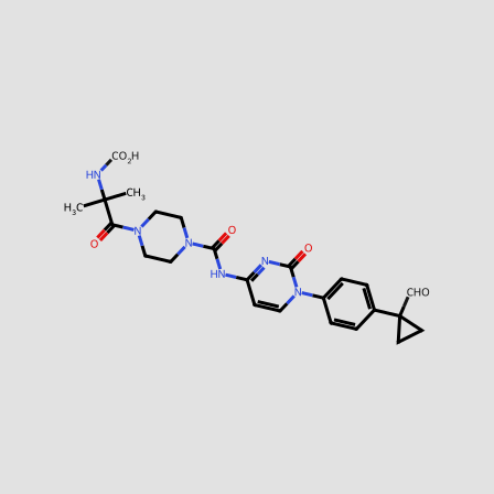 CC(C)(NC(=O)O)C(=O)N1CCN(C(=O)Nc2ccn(-c3ccc(C4(C=O)CC4)cc3)c(=O)n2)CC1